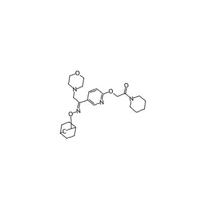 O=C(COc1ccc(C(CN2CCOCC2)=NOC2CC3CCC2CC3)cn1)N1CCCCC1